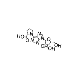 O=C(O)[C@H]1CCCN1c1ncnc2c1ncn2[C@@H]1O[C@H](CO)[C@H](O)C1O